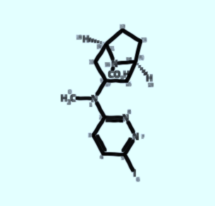 CN(c1ccc(I)nn1)C1C[C@H]2CC[C@@H](C1)N2C(=O)O